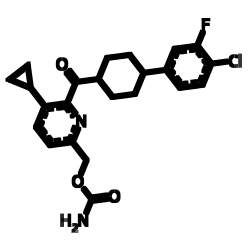 NC(=O)OCc1ccc(C2CC2)c(C(=O)C2CCC(c3ccc(Cl)c(F)c3)CC2)n1